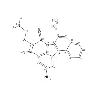 CN(C)CCn1c(=O)c2cc(N)cc3c4c5ccccc5ccc4n(c1=O)c23.Cl.Cl